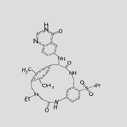 CCN1CC(=O)Nc2ccc(S(=O)(=O)C(C)C)c(c2)CNC(=O)C(Nc2ccc3nc[nH]c(=O)c3c2)c2cc(C)c(c(C)c2)C1